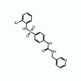 CC(=O)c1ccccc1NS(=O)(=O)c1ccc(NC(=O)NCc2cccnc2)cc1